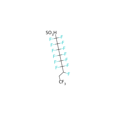 O=S(=O)(O)C(F)(F)C(F)(F)C(F)(F)C(F)(F)C(F)(F)C(F)(F)C(F)CC(F)(F)F